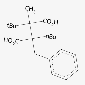 CCCCC(Cc1ccccc1)(C(=O)O)C(C)(C(=O)O)C(C)(C)C